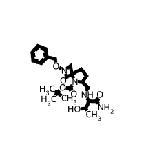 CC(O)C(NCC1CCC2(CN(OCc3ccccc3)C2=O)N1C(=O)OC(C)(C)C)C(N)=O